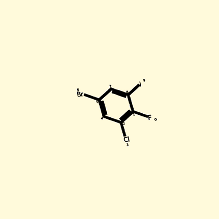 Fc1c(Cl)cc(Br)cc1I